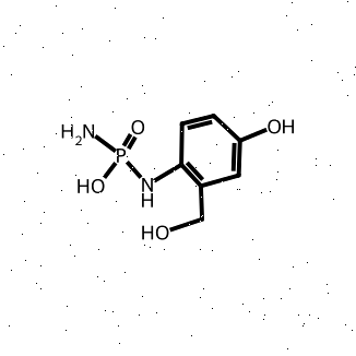 NP(=O)(O)Nc1ccc(O)cc1CO